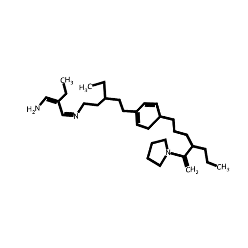 C=C(C(CCC)CCCC1C=CC(CCC(CC)CC/N=C\C(=C/N)CC)=CC1)N1CCCC1